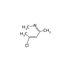 C/N=C(C)\C=C(/C)Cl